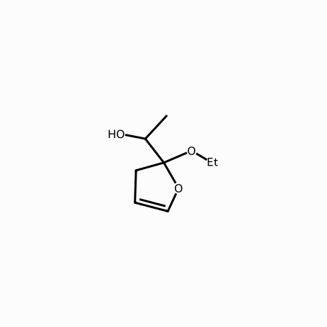 CCOC1(C(C)O)CC=CO1